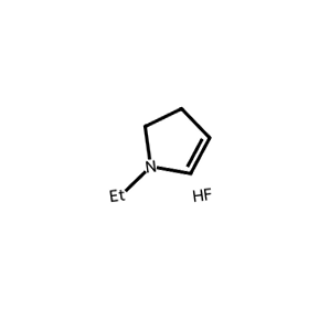 CCN1C=CCC1.F